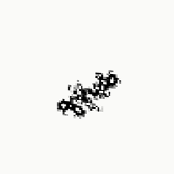 CN(C(=O)OCC1c2ccccc2-c2ccccc21)[C@@H](CCC(=O)ON1C(=O)c2ccccc2C1=O)C(=O)OC(C)(C)C